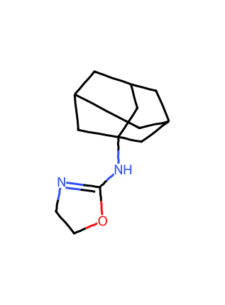 C1COC(NC23CC4CC(CC(C4)C2)C3)=N1